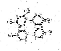 Oc1ccc(-c2ccc(O)cc2)cc1.Oc1ccc(-c2ccc(O)cc2)cc1.S